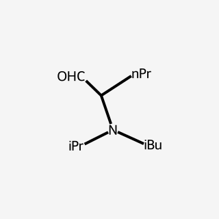 [CH2]CCC(C=O)N(C(C)C)C(C)CC